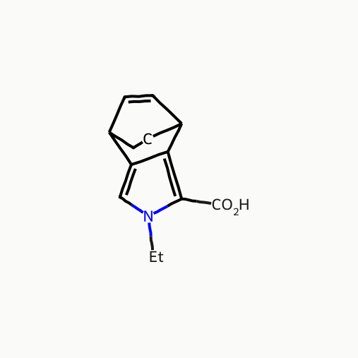 CCn1cc2c(c1C(=O)O)C1C=CC2CC1